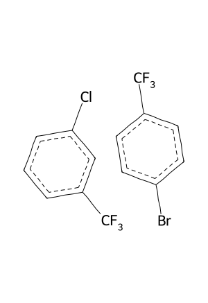 FC(F)(F)c1ccc(Br)cc1.FC(F)(F)c1cccc(Cl)c1